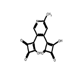 Cc1cc(-c2c(O)c(=O)c2=O)c(-c2c(O)c(=O)c2=O)cn1